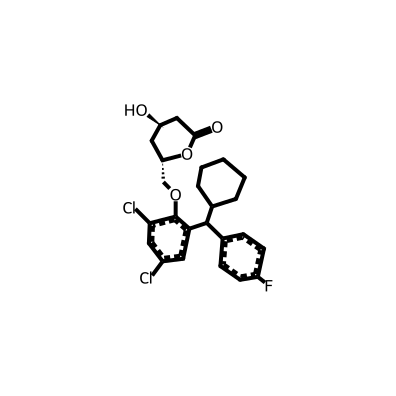 O=C1C[C@H](O)C[C@@H](COc2c(Cl)cc(Cl)cc2C(c2ccc(F)cc2)C2CCCCC2)O1